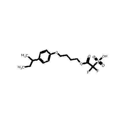 CCC(C)c1ccc(OCCCCOC(=O)C(F)(F)S(=O)(=O)O)cc1